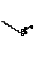 CCCCCCCCCCCC(=O)OS(=O)OCC=O